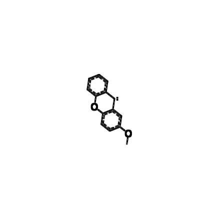 COc1ccc2c(c1)[C]c1ccccc1O2